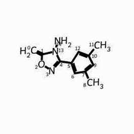 C=C1ON=C(c2cc(C)cc(C)c2)N1N